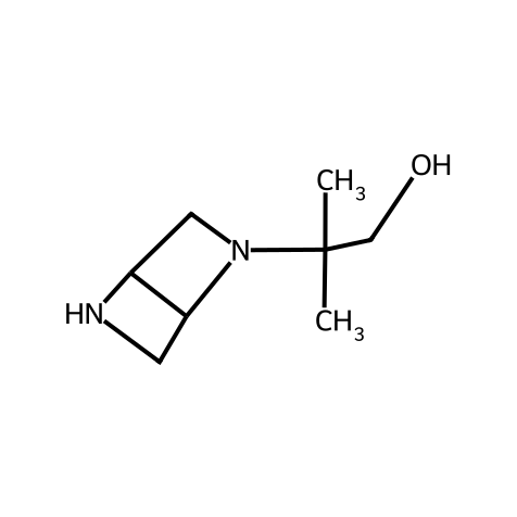 CC(C)(CO)N1CC2NCC21